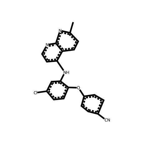 Cc1ccc2c(Nc3cc(Cl)ccc3Oc3ccc(C#N)cc3)ccnc2n1